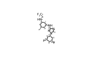 Cc1cc(NCC(F)(F)F)cc(Nc2ncn(-c3cc(F)cc(F)c3)n2)c1